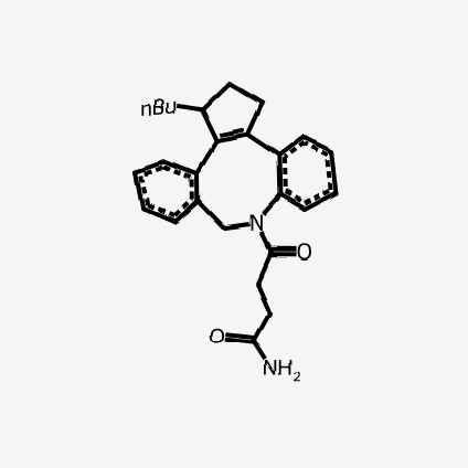 CCCCC1CCC2=C1c1ccccc1CN(C(=O)CCC(N)=O)c1ccccc12